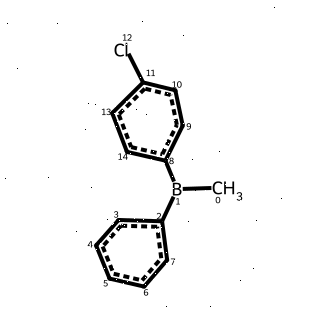 CB(c1ccccc1)c1ccc(Cl)cc1